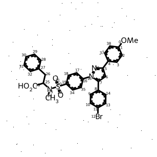 COc1ccc(-c2cc(-c3ccc(Br)cc3)n(-c3ccc(S(=O)(=O)N(C)C(Cc4ccccc4)C(=O)O)cc3)n2)cc1